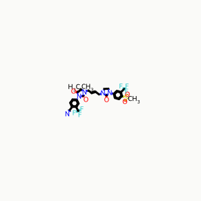 CC1(C)C(=O)N(c2ccc(C#N)c(C(F)(F)F)c2)C(=O)N1CC=CCN1CCN(c2ccc(S(C)(=O)=O)c(C(F)(F)F)c2)C1=O